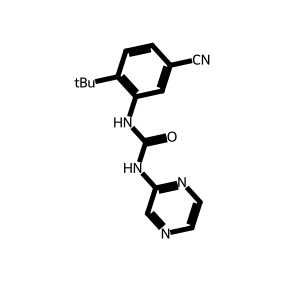 CC(C)(C)c1ccc(C#N)cc1NC(=O)Nc1cnccn1